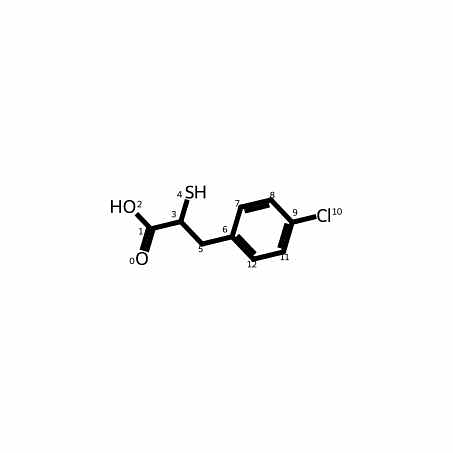 O=C(O)C(S)Cc1ccc(Cl)cc1